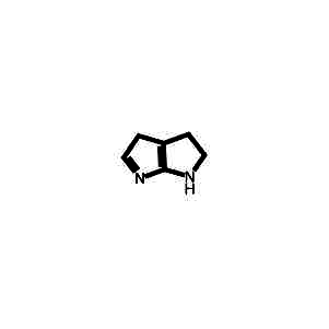 C1=NC2=C(C1)CCN2